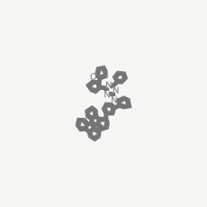 c1ccc(-c2nc(-c3cccc4oc5ccccc5c34)nc(-n3c4ccccc4c4cc(-c5cccc6c5-c5ccccc5C65c6ccccc6-c6ccccc65)ccc43)n2)cc1